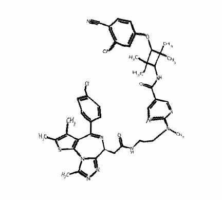 Cc1sc2c(c1C)C(c1ccc(Cl)cc1)=N[C@@H](CC(=O)NCCN(C)c1ncc(C(=O)NC3C(C)(C)C(Oc4ccc(C#N)c(Cl)c4)C3(C)C)cn1)c1nnc(C)n1-2